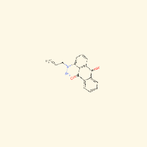 C=CCN(N)c1cccc2c1C(=O)c1ccccc1C2=O